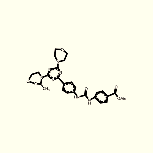 COC(=O)c1ccc(NC(=O)Nc2ccc(-c3nc(N4CCOCC4)nc(N4CCOC[C@@H]4C)n3)cc2)cc1